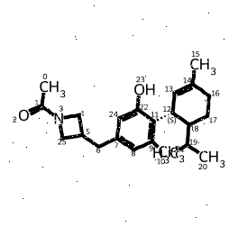 CC(=O)N1CC(Cc2cc(C)c([C@@H]3C=C(C)CCC3C(C)C)c(O)c2)C1